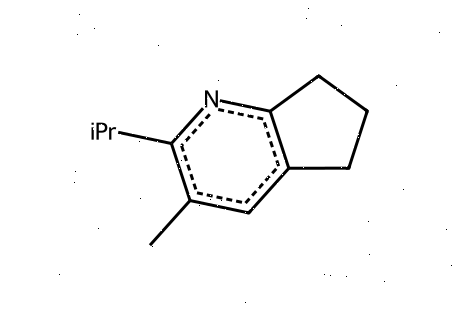 Cc1cc2c(nc1C(C)C)CCC2